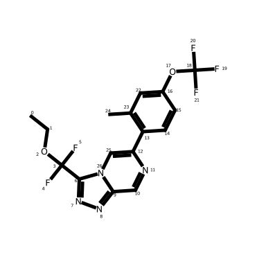 CCOC(F)(F)c1nnc2cnc(-c3ccc(OC(F)(F)F)cc3C)cn12